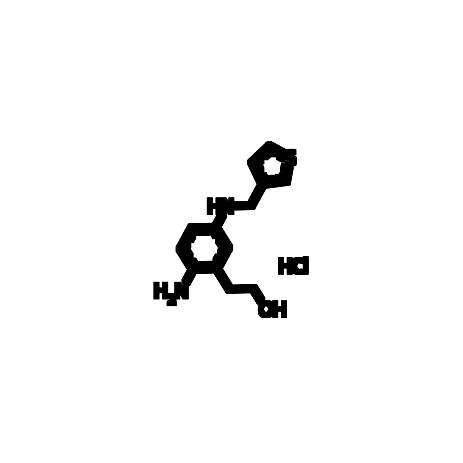 Cl.Nc1ccc(NCc2ccsc2)cc1CCO